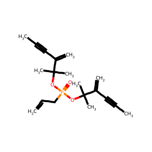 C=CCP(=O)(OC(C)(C)C(=C)C#CC)OC(C)(C)C(=C)C#CC